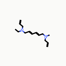 C=CCN(C)C/C=C/C=C/CN(CC)CC=C